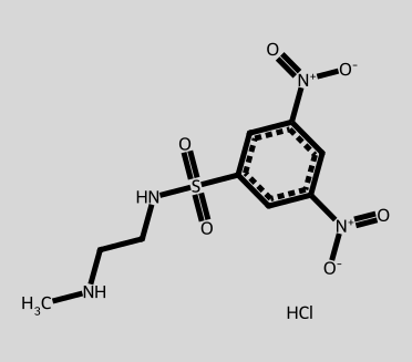 CNCCNS(=O)(=O)c1cc([N+](=O)[O-])cc([N+](=O)[O-])c1.Cl